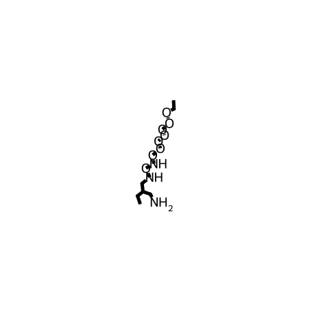 CCOOOOOOONONCC(CC)CN